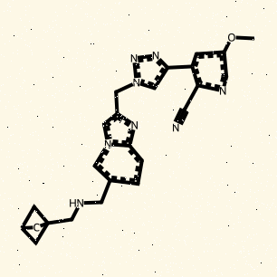 COc1cnc(C#N)c(-c2cn(Cc3cn4cc(CNCC56CC(C5)C6)ccc4n3)nn2)c1